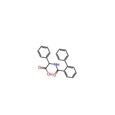 O=C(NC(C(=O)O)c1ccccc1)c1ccccc1-c1ccccc1